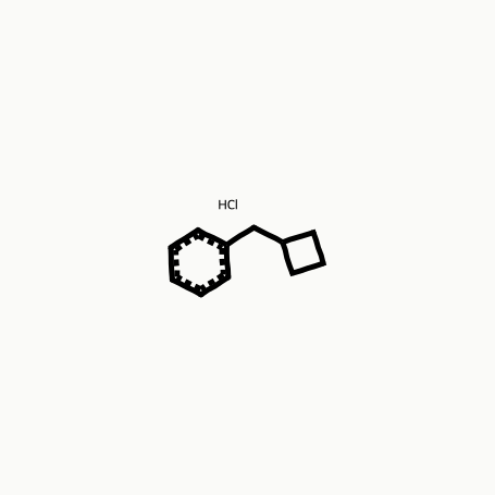 Cl.c1ccc(CC2CCC2)cc1